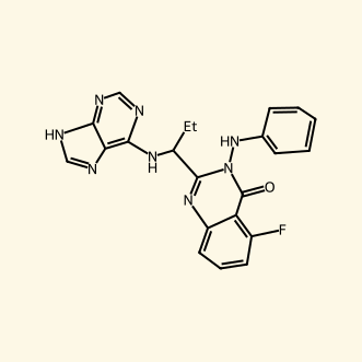 CCC(Nc1ncnc2[nH]cnc12)c1nc2cccc(F)c2c(=O)n1Nc1ccccc1